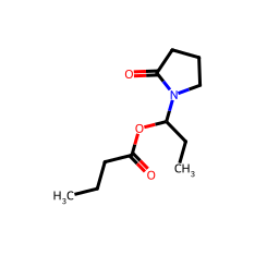 CCCC(=O)OC(CC)N1CCCC1=O